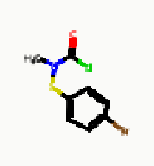 CN(Sc1ccc(Br)cc1)C(=O)Cl